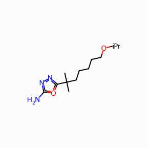 CC(C)OCCCCCC(C)(C)c1nnc(N)o1